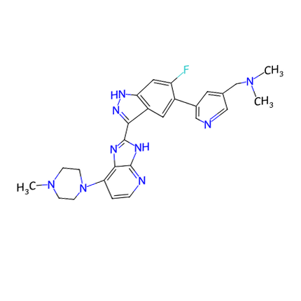 CN(C)Cc1cncc(-c2cc3c(-c4nc5c(N6CCN(C)CC6)ccnc5[nH]4)n[nH]c3cc2F)c1